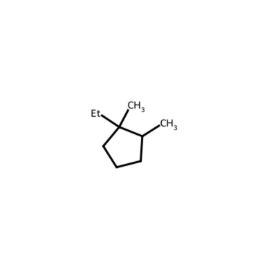 [CH2]CC1(C)CCCC1C